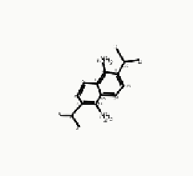 CC(C)c1ccc2c(N)c(C(C)C)ccc2c1N